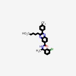 CC(NC(=O)c1ccc2nc(-c3ccc(C(F)(F)F)cc3)c(CCCCC(=O)O)nc2c1)c1cccc(Br)c1